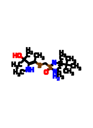 CN/C(=C(/C)SCS(N)(=O)=N[Si](C)(C)C(C)(C)C)C(C)(C)O